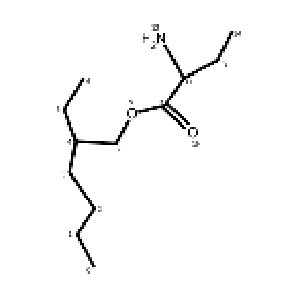 CCCCC(CC)COC(=O)C(N)CC